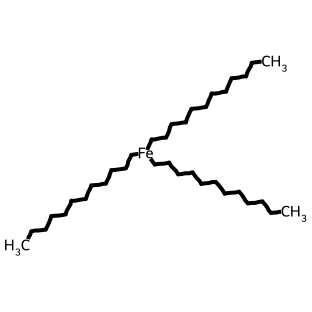 CCCCCCCCCCC[CH2][Fe]([CH2]CCCCCCCCCCC)[CH2]CCCCCCCCCCC